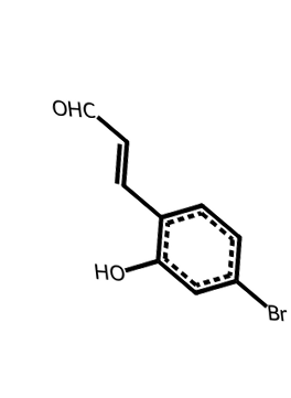 O=CC=Cc1ccc(Br)cc1O